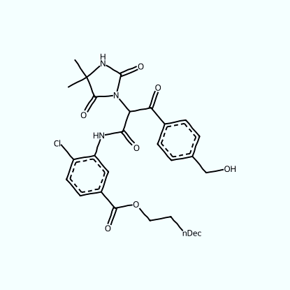 CCCCCCCCCCCCOC(=O)c1ccc(Cl)c(NC(=O)C(C(=O)c2ccc(CO)cc2)N2C(=O)NC(C)(C)C2=O)c1